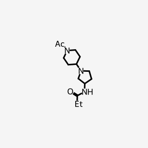 CCC(=O)NC1CCN(C2CCN(C(C)=O)CC2)C1